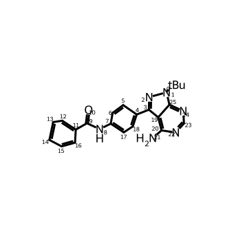 CC(C)(C)n1nc(-c2ccc(NC(=O)c3ccccc3)cc2)c2c(N)ncnc21